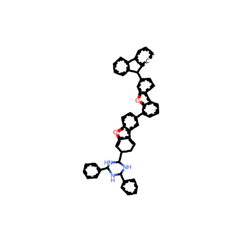 C1=c2oc3ccc(-c4cccc5c4oc4cc(C6c7ccccc7-c7ccccc76)ccc45)cc3c2=CCC1C1NC(c2ccccc2)NC(c2ccccc2)N1